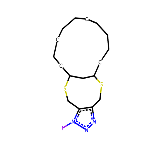 In1nnc2c1CSC1CCCCCCCCCCC(C1)SC2